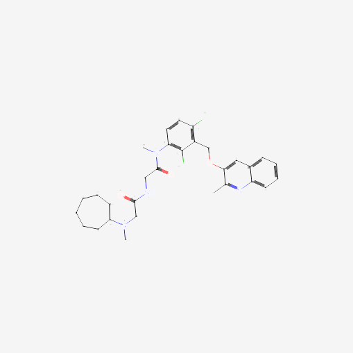 Cc1nc2ccccc2cc1OCc1c(Cl)ccc(N(C)C(=O)CNC(=O)CN(C)C2CCCCCC2)c1Cl